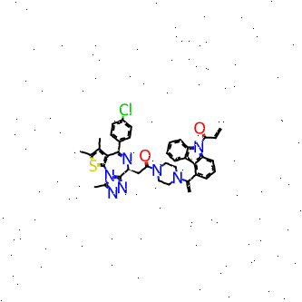 C=CC(=O)n1c2ccccc2c2c(C(=C)N3CCN(C(=O)C[C@@H]4N=C(c5ccc(Cl)cc5)c5c(sc(C)c5C)-n5c(C)nnc54)CC3)cccc21